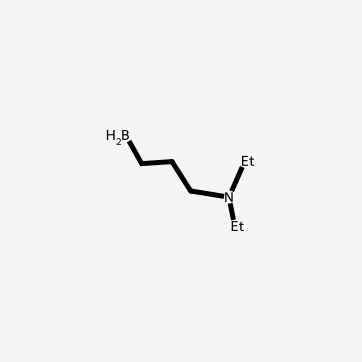 BCCCN(CC)CC